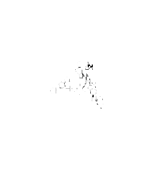 Cc1cc(OCCCc2c3n(c4c(-c5c(C)nn(C)c5C)c(Cl)ccc24)[C@H](C)CN(c2c(C(=O)O)c4cc(N(C)C(=O)CN5CCCC5)ccc4n2C)C3=O)cc(C)c1Cl